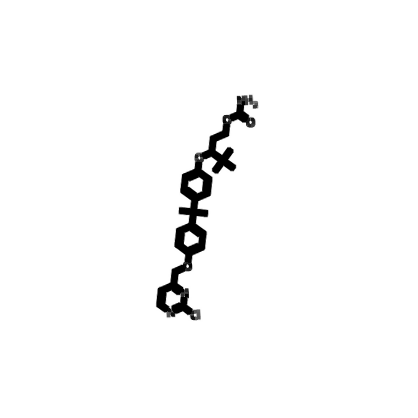 CC(C)(c1ccc(OCc2ccnc(Cl)n2)cc1)c1ccc(OC(CCOC(N)=O)C(C)(C)C)cc1